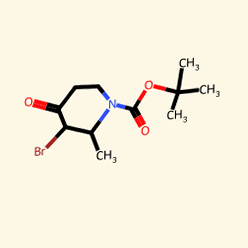 CC1C(Br)C(=O)CCN1C(=O)OC(C)(C)C